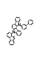 c1ccc(-c2cccc(-n3c4ccccc4c4ccc5c(c6ccccc6n5-c5cccc6c5sc5ccccc56)c43)c2)cc1